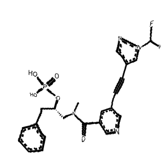 CN(C[C@H](Cc1ccccc1)OP(=O)(O)O)C(=O)c1cncc(C#Cc2cnn(C(F)F)c2)c1